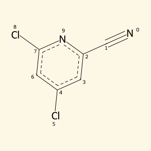 N#Cc1cc(Cl)cc(Cl)n1